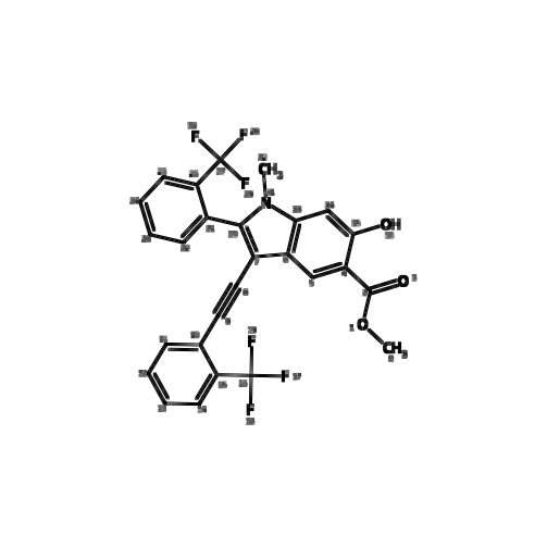 COC(=O)c1cc2c(C#Cc3ccccc3C(F)(F)F)c(-c3ccccc3C(F)(F)F)n(C)c2cc1O